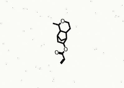 C=CC(=O)OC1CC2CC1C1CCOC(C)C21